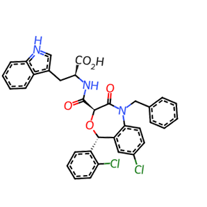 O=C(N[C@@H](Cc1c[nH]c2ccccc12)C(=O)O)[C@@H]1O[C@@H](c2ccccc2Cl)c2cc(Cl)ccc2N(Cc2ccccc2)C1=O